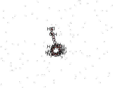 C/C=C(\C)[C@H]1OC(=O)[C@@H](C)NC(=O)[C@H](C(C)CC)NC(=O)CN(C)C(=O)[C@@H](Cc2ccccc2)N(C)C(=O)[C@H](C)NC(=O)[C@@H](CC(C)C)OC(=O)/C(C)=C/C[C@H](OC(=O)NCCOCCCOCCOCCCNC(=O)OCc2ccc(NCl)cc2)[C@@H]1C